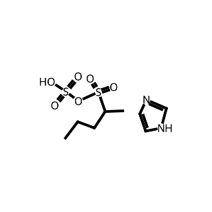 CCCC(C)S(=O)(=O)OS(=O)(=O)O.c1c[nH]cn1